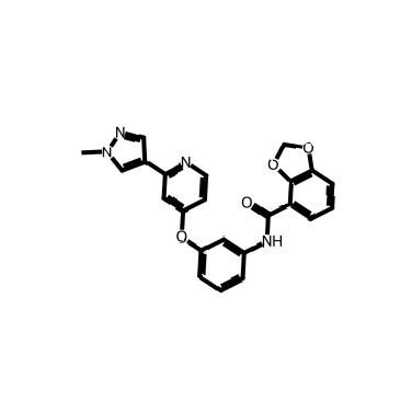 Cn1cc(-c2cc(Oc3cccc(NC(=O)c4cccc5c4OCO5)c3)ccn2)cn1